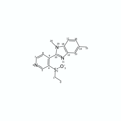 CC[S+]([O-])c1cnccc1-c1nc2cc(C)ccc2n1C